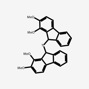 COc1ccc2c(c1OC)[CH]([Ti][CH]1c3ccccc3-c3ccc(OC)c(OC)c31)c1ccccc1-2